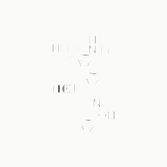 CC(C)Nc1cc(-c2ccc(CCNC[C@@H](O)c3ccccc3)cc2)ccc1C(=O)O.Cl.Cl